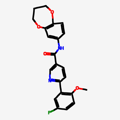 COc1ccc(F)cc1-c1ccc(C(=O)Nc2ccc3c(c2)OCCCO3)cn1